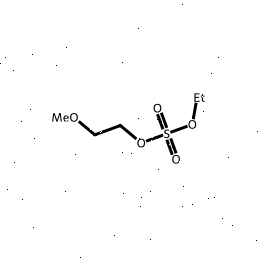 CCOS(=O)(=O)OCCOC